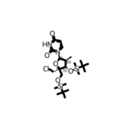 C[C@@H]1[C@H](n2ccc(=O)[nH]c2=O)O[C@](CCl)(CO[Si](C)(C)C(C)(C)C)[C@H]1O[Si](C)(C)C(C)(C)C